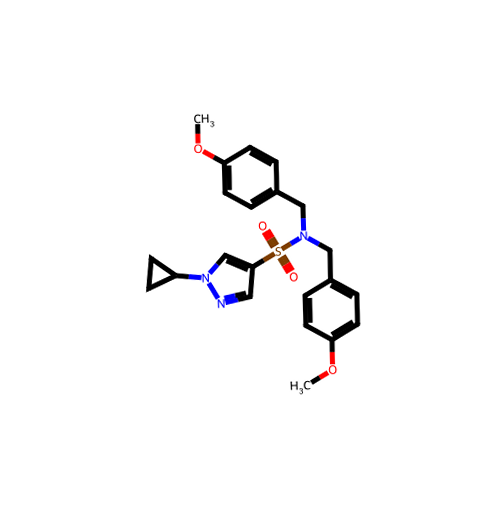 COc1ccc(CN(Cc2ccc(OC)cc2)S(=O)(=O)c2cnn(C3CC3)c2)cc1